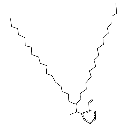 C=Cc1ccccc1C(C)N(CCCCCCCCCCCCCCCCCC)CCCCCCCCCCCCCCCCCC